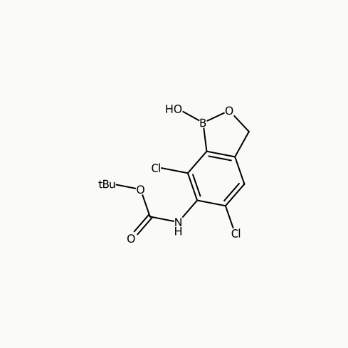 CC(C)(C)OC(=O)Nc1c(Cl)cc2c(c1Cl)B(O)OC2